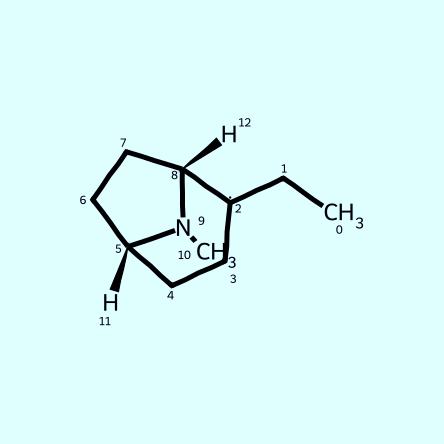 CC[C]1CC[C@@H]2CC[C@H]1N2C